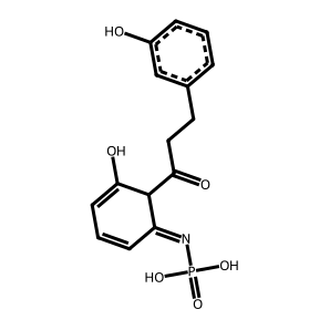 O=C(CCc1cccc(O)c1)C1C(O)=CC=CC1=NP(=O)(O)O